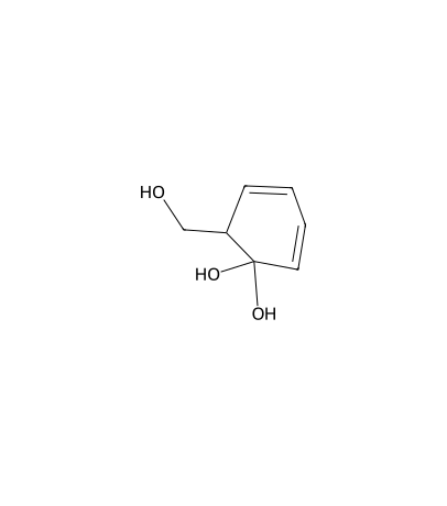 OCC1C=CC=CC1(O)O